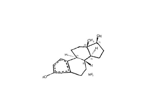 C[C@]12CC[C@@H]3c4ccc(O)cc4CC[C@H]3[C@@H]1CC[C@@H]2O.N